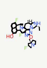 C#Cc1c(F)ccc2cc(O)cc(-c3nc4c5c(nc(OC[C@@]67CCCN6C[C@H](F)C7)nc5c3F)N3C[C@@H](CC)NC[C@H]3[C@H](C)C4)c12